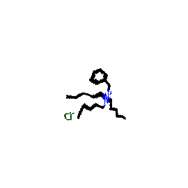 CCCCC[N+](CCCCC)(CCCCC)Cc1ccccc1.[Cl-]